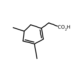 CC1=CC(C)CC(CC(=O)O)=C1